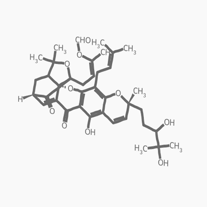 CC(C)=CCc1c2c(c(O)c3c1O[C@]14C(=C[C@@H]5CC1C(C)(C)OC4(C/C=C(/C)OC=O)C5=O)C3=O)C=C[C@@](C)(CCC(O)C(C)(C)O)O2